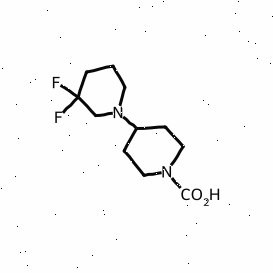 O=C(O)N1CCC(N2CCCC(F)(F)C2)CC1